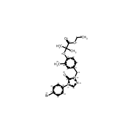 CCOC(=O)C(C)(C)Oc1ccc(Cn2ncn(-c3ccc(Br)cc3)c2=O)cc1C